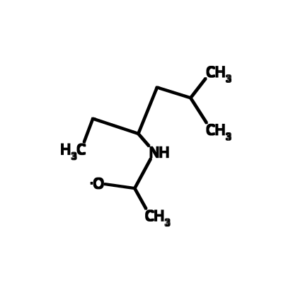 CCC(CC(C)C)NC(C)[O]